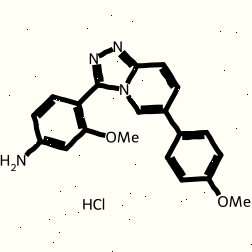 COc1ccc(-c2ccc3nnc(-c4ccc(N)cc4OC)n3c2)cc1.Cl